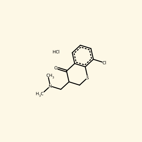 CN(C)CC1CSc2c(Cl)cccc2C1=O.Cl